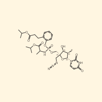 CC(C)OC(=O)CCc1ccccc1OP(=O)(NC(C)C(=O)OC(C)C)OC[C@@]1(CN=[N+]=[N-])O[C@@H](n2ccc(=O)[nH]c2=O)[C@H](F)[C@@H]1O